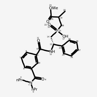 CCCN(CCC)C(=O)c1cccc(C(=O)N[C@H](CP(=O)(O)CC(C)C(=O)OC)c2ccccc2)c1